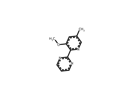 COc1cc(C)cnc1-c1ncccn1